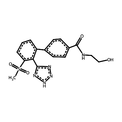 CS(=O)(=O)c1cccc(-c2ccc(C(=O)NCCO)cc2)c1-c1nn[nH]n1